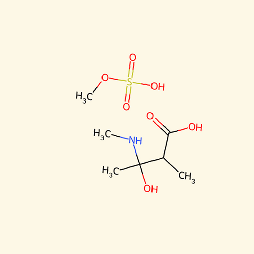 CNC(C)(O)C(C)C(=O)O.COS(=O)(=O)O